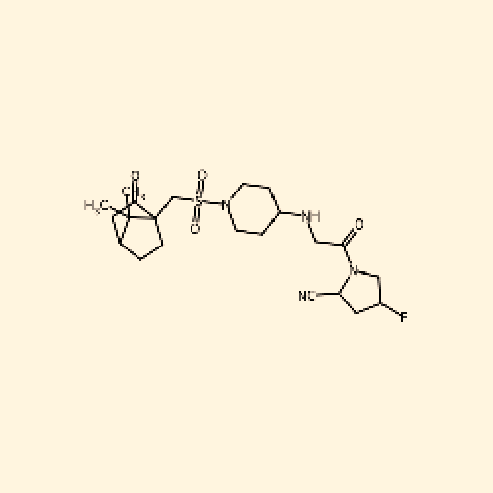 CC1(C)C2CCC1(CS(=O)(=O)N1CCC(NCC(=O)N3CC(F)CC3C#N)CC1)C(=O)C2